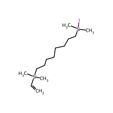 C=C[Si](C)(C)CCCCCCCC[Si](C)(C)I